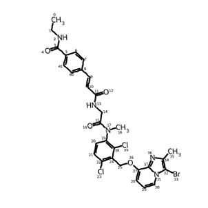 CCNC(=O)c1ccc(/C=C/C(=O)NCC(=O)N(C)c2ccc(Cl)c(COc3cccn4c(Br)c(C)nc34)c2Cl)cc1